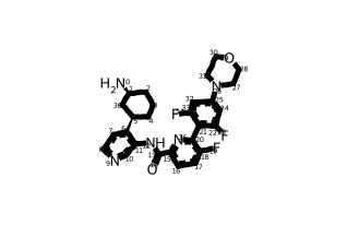 N[C@H]1CCC[C@@H](c2ccncc2NC(=O)c2ccc(F)c(-c3c(F)cc(N4CCOCC4)cc3F)n2)C1